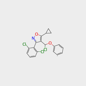 Clc1cccc(Cl)c1-c1noc(C2CC2)c1C(Cl)Oc1c[c]ccc1